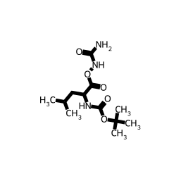 CC(C)CC(NC(=O)OC(C)(C)C)C(=O)ONC(N)=O